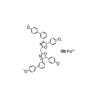 COc1ccc(-c2cccc([C@H]3N=C(CC4=N[C@H](c5cccc(-c6ccc(OC)cc6)c5)C(c5ccc(OC)cc5)O4)OC3c3ccc(OC)cc3)c2)cc1.[Br-].[Br-].[Pd+2]